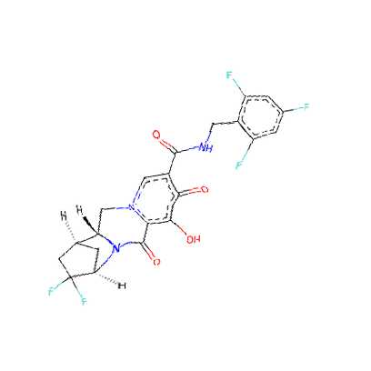 O=C(NCc1c(F)cc(F)cc1F)c1cn2c(c(O)c1=O)C(=O)N1[C@@H](C2)[C@H]2C[C@@H]1C(F)(F)C2